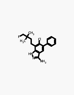 CC(C)(CF)CCc1c(Cl)c(-c2ccccc2)cc2c(N)n[nH]c12